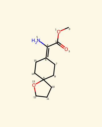 COC(=O)C(N)=C1CCC2(CCCO2)CC1